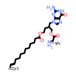 CCCCCCCCC=CCCCCCCCCCC(=O)OCCC(COC(=O)[C@@H](N)C(C)C)Cn1cnc2c(=O)[nH]c(N)nc21